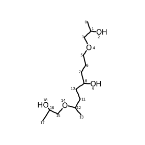 CC(O)COCCCC(O)CCC(C)OCC(C)O